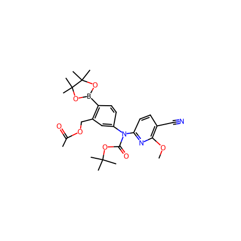 COc1nc(N(C(=O)OC(C)(C)C)c2ccc(B3OC(C)(C)C(C)(C)O3)c(COC(C)=O)c2)ccc1C#N